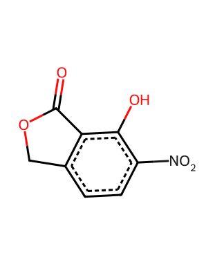 O=C1OCc2ccc([N+](=O)[O-])c(O)c21